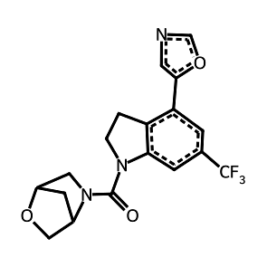 O=C(N1CCc2c(-c3cnco3)cc(C(F)(F)F)cc21)N1CC2CC1CO2